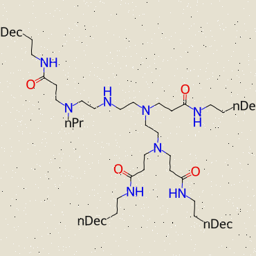 CCCCCCCCCCCCNC(=O)CCN(CCC)CCNCCN(CCC(=O)NCCCCCCCCCCCC)CCN(CCC(=O)NCCCCCCCCCCCC)CCC(=O)NCCCCCCCCCCCC